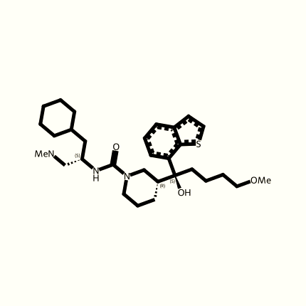 CNC[C@H](CC1CCCCC1)NC(=O)N1CCC[C@@H]([C@@](O)(CCCCOC)c2cccc3ccsc23)C1